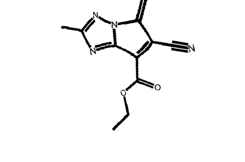 C=c1c(C#N)c(C(=O)OCC)c2nc(C)nn12